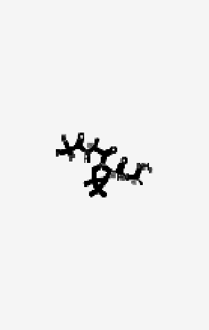 C[C@H](NC(=O)C(F)(F)F)C(=O)N1CC2(C)C([C@H]1C(=O)N[C@@H](C)N)C2(C)C